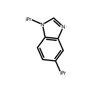 CC(C)c1ccc2c(c1)ncn2C(C)C